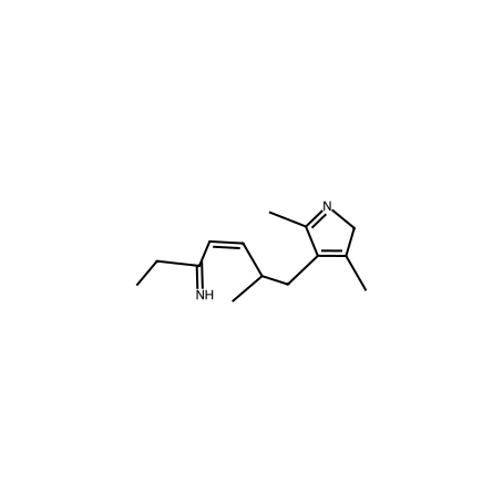 CCC(=N)/C=C\C(C)CC1=C(C)CN=C1C